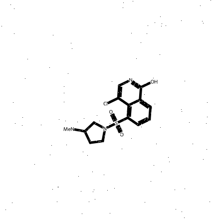 CNC1CCN(S(=O)(=O)c2cccc3c(O)ncc(Cl)c23)C1